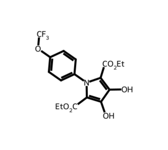 CCOC(=O)c1c(O)c(O)c(C(=O)OCC)n1-c1ccc(OC(F)(F)F)cc1